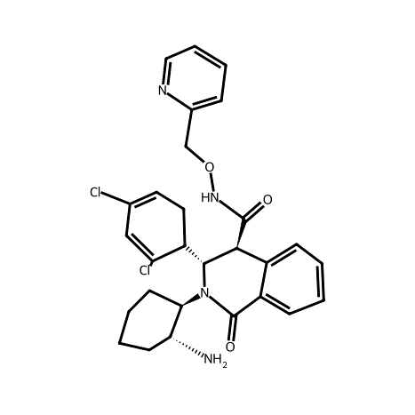 N[C@@H]1CCCC[C@H]1N1C(=O)c2ccccc2[C@H](C(=O)NOCc2ccccn2)[C@H]1C1CC=C(Cl)C=C1Cl